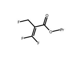 CC(C)OC(=O)C(CF)=C(F)F